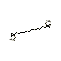 COCC1(CCCCCCCCCCCCC2(COC)CC2)CC1